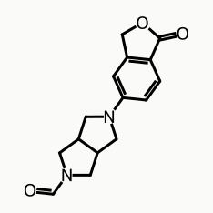 O=CN1CC2CN(c3ccc4c(c3)COC4=O)CC2C1